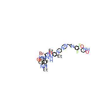 CCOc1cc(N2CCC(N3CCN(CC4CN(c5cc(F)c([C@H]6CCC(=O)NC6=O)c(F)c5)C4)CC3)CC2)c(CC)cc1Nc1ncc(Br)c(Nc2ccc3nc(CC)ncc3c2P(C)(C)=O)n1